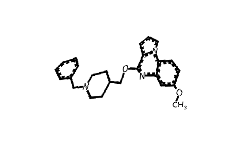 COc1ccc2c(c1)nc(OCC1CCN(Cc3ccccc3)CC1)c1cccn12